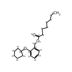 CCCCCCCC(=O)OCc1ccccc1OC1CCCCC1